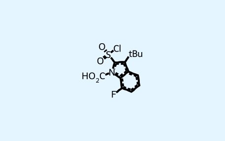 CC(C)(C)c1c(S(=O)(=O)Cl)n(C(=O)O)c2c(F)cccc12